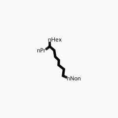 [CH2]CCCCCC(CCC)CCCCCCCCCCCCCCC